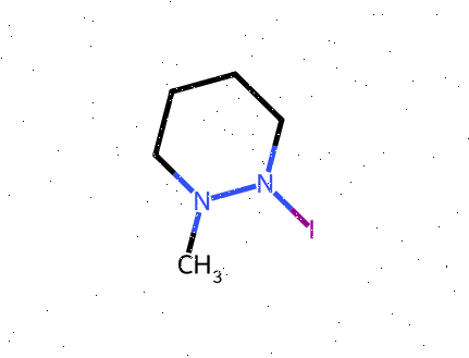 CN1CCCCN1I